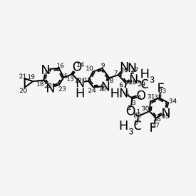 C[C@@H](OC(=O)Nc1c(-c2ccc(NC(=O)c3cnc(C4CC4)nc3)cn2)nnn1C)c1cc(F)cnc1F